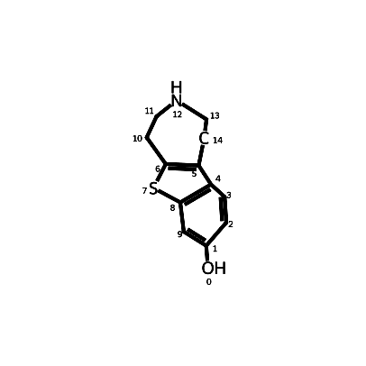 Oc1ccc2c3c(sc2c1)CCNCC3